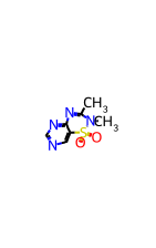 CC1=Nc2ncncc2S(=O)(=O)N1C